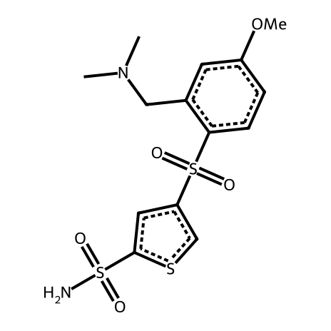 COc1ccc(S(=O)(=O)c2csc(S(N)(=O)=O)c2)c(CN(C)C)c1